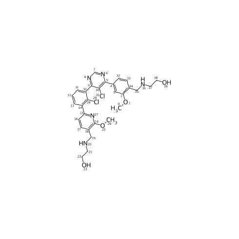 COc1cc(-c2ncnc(-c3cccc(-c4ccc(CNCCO)c(OC)n4)c3Cl)c2Cl)ccc1CNCCO